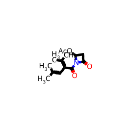 CC(=O)OC1CC(=O)N1C(=O)C(C=C(C)C)=C(C)C